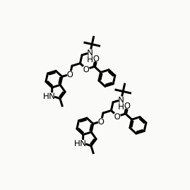 Cc1cc2c(OCC(CNC(C)(C)C)OC(=O)c3ccccc3)cccc2[nH]1.Cc1cc2c(OCC(CNC(C)(C)C)OC(=O)c3ccccc3)cccc2[nH]1